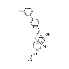 COCO[C@@H]1CC[C@@H]2[C@@H](C1)C[C@@H](O)[C@H]2C=Cc1ccc(-c2cccc(F)c2)cn1